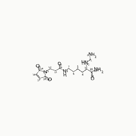 NCNC(CCCCNC(=O)CCN1C(=O)C=CC1=O)C(N)=O